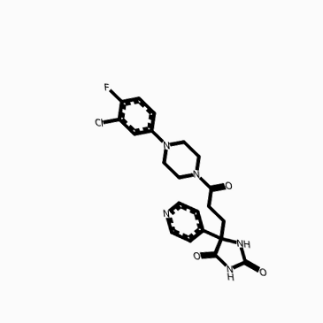 O=C1NC(=O)C(CCC(=O)N2CCN(c3ccc(F)c(Cl)c3)CC2)(c2ccncc2)N1